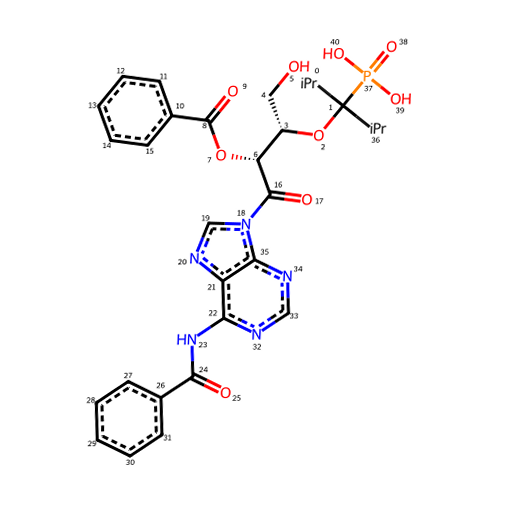 CC(C)C(O[C@@H](CO)[C@@H](OC(=O)c1ccccc1)C(=O)n1cnc2c(NC(=O)c3ccccc3)ncnc21)(C(C)C)P(=O)(O)O